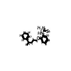 CC(CCCOc1ccccc1NC(N)=S)c1ccccc1